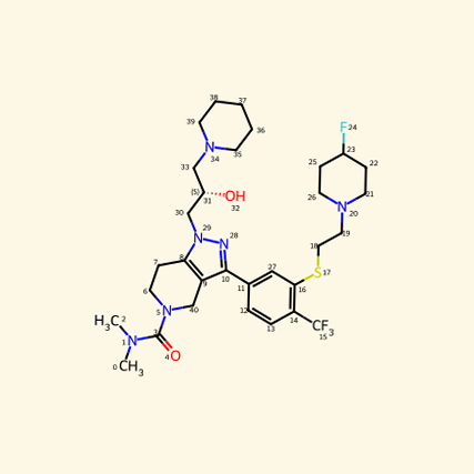 CN(C)C(=O)N1CCc2c(c(-c3ccc(C(F)(F)F)c(SCCN4CCC(F)CC4)c3)nn2C[C@@H](O)CN2CCCCC2)C1